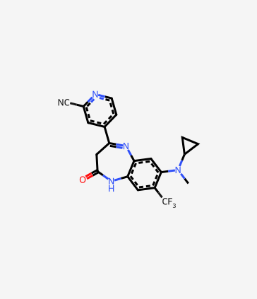 CN(c1cc2c(cc1C(F)(F)F)NC(=O)CC(c1ccnc(C#N)c1)=N2)C1CC1